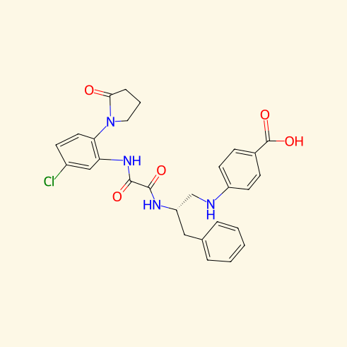 O=C(Nc1cc(Cl)ccc1N1CCCC1=O)C(=O)N[C@H](CNc1ccc(C(=O)O)cc1)Cc1ccccc1